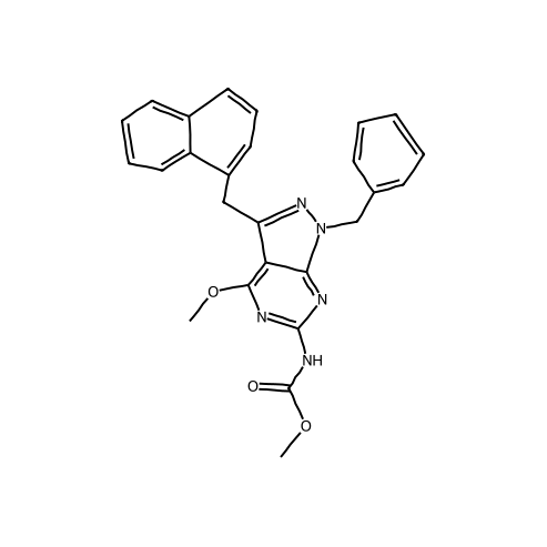 COC(=O)Nc1nc(OC)c2c(Cc3cccc4ccccc34)nn(Cc3ccccc3)c2n1